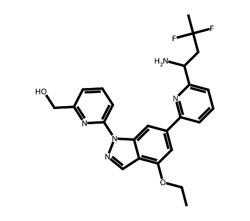 CCOc1cc(-c2cccc(C(N)CC(C)(F)F)n2)cc2c1cnn2-c1cccc(CO)n1